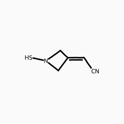 N#CC=C1CN(S)C1